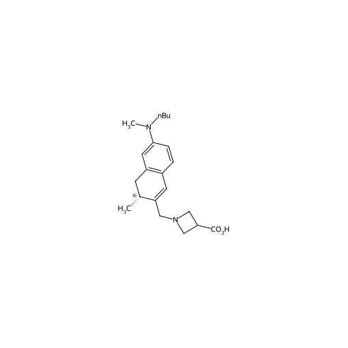 CCCCN(C)c1ccc2c(c1)C[C@@H](C)C(CN1CC(C(=O)O)C1)=C2